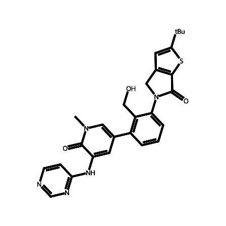 Cn1cc(-c2cccc(N3Cc4cc(C(C)(C)C)sc4C3=O)c2CO)cc(Nc2ccncn2)c1=O